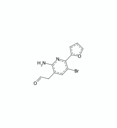 Nc1nc(-c2ccco2)c(Br)cc1CC=O